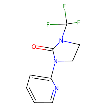 O=C1N(c2ccccn2)CCN1C(F)(F)F